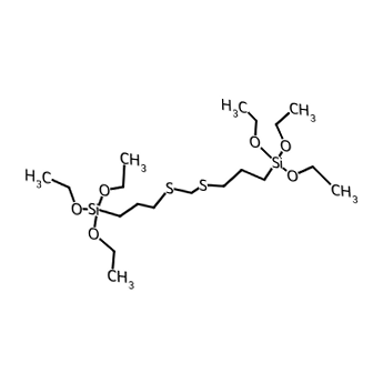 CCO[Si](CCCSCSCCC[Si](OCC)(OCC)OCC)(OCC)OCC